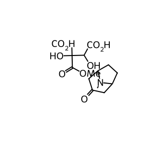 CN1C2CCC1CC(=O)C2.COC(=O)C(O)(C(=O)O)C(O)C(=O)O